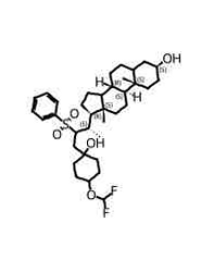 C[C@H](C(CC1(O)CCC(OC(F)F)CC1)S(=O)(=O)c1ccccc1)[C@H]1CCC2[C@@H]3CCC4C[C@@H](O)CC[C@]4(C)[C@H]3CC[C@@]21C